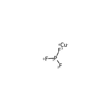 FP(F)F.[Cu]